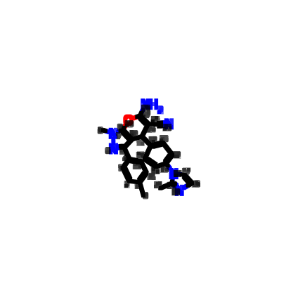 Cc1ccc(-c2nn(C)c3c2C(c2ccc(-n4ccnc4C)cc2)C(C#N)=C(N)O3)cc1